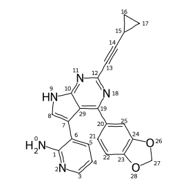 Nc1ncccc1-c1c[nH]c2nc(C#CC3CC3)nc(-c3ccc4c(c3)OCO4)c12